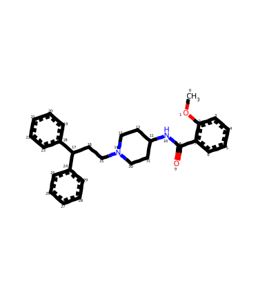 COc1ccccc1C(=O)NC1CCN(CCC(c2ccccc2)c2ccccc2)CC1